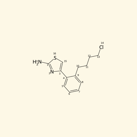 Nc1nc(-c2ccccc2CCCCCl)cs1